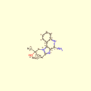 COCc1nc2c(N)nc3ccccc3c2n1CC(C)(C)O